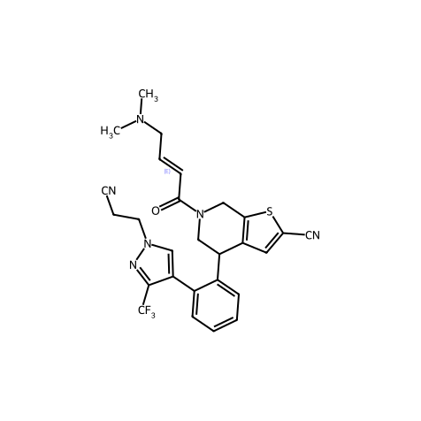 CN(C)C/C=C/C(=O)N1Cc2sc(C#N)cc2C(c2ccccc2-c2cn(CCC#N)nc2C(F)(F)F)C1